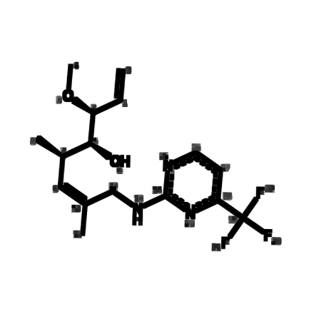 C=C[C@H](OC)[C@@H](O)[C@H](C)/C=C(/C)CNc1nccc(C(F)(F)F)n1